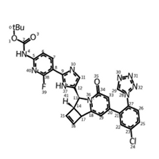 CC(C)(C)OC(=O)Nc1ccc(-c2ncc([C@@H]3[C@H]4C=CC4c4cc(-c5cc(Cl)ccc5-n5cnnn5)cc(=O)n43)[nH]2)c(F)n1